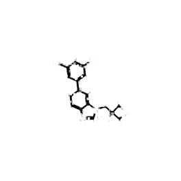 OC1(Cn2cnc3c2=CC(c2cc(F)cc(Cl)c2)CC=3)COC1